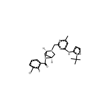 Cc1cc(Nc2ccnn2C(C)(C)C)nc(CN2C[C@@H]3C[C@H]2CN3C(=O)c2cccc(Cl)c2F)n1